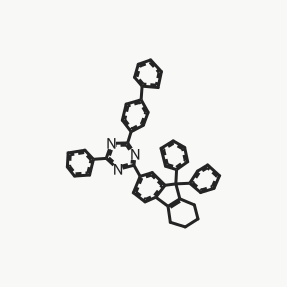 c1ccc(-c2ccc(-c3nc(-c4ccccc4)nc(-c4ccc5c(c4)C(c4ccccc4)(c4ccccc4)C4=C5CCCC4)n3)cc2)cc1